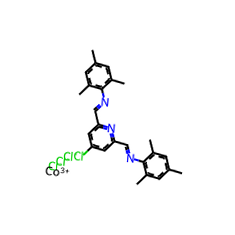 Cc1cc(C)c(N=Cc2cc(Cl)cc(C=Nc3c(C)cc(C)cc3C)n2)c(C)c1.[Cl-].[Cl-].[Cl-].[Co+3]